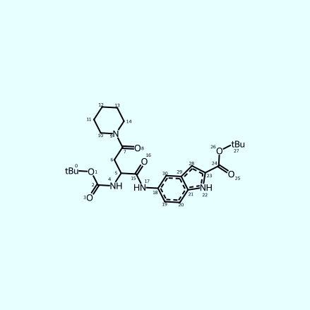 CC(C)(C)OC(=O)NC(CC(=O)N1CCCCC1)C(=O)Nc1ccc2[nH]c(C(=O)OC(C)(C)C)cc2c1